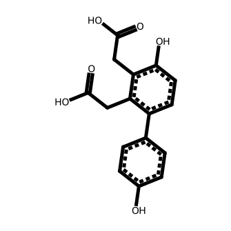 O=C(O)Cc1c(O)ccc(-c2ccc(O)cc2)c1CC(=O)O